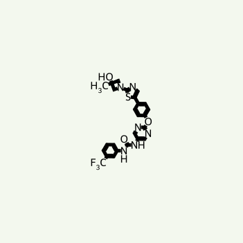 CC1(O)CN(c2ncc(-c3ccc(Oc4ncc(NC(=O)Nc5cccc(C(F)(F)F)c5)cn4)cc3)s2)C1